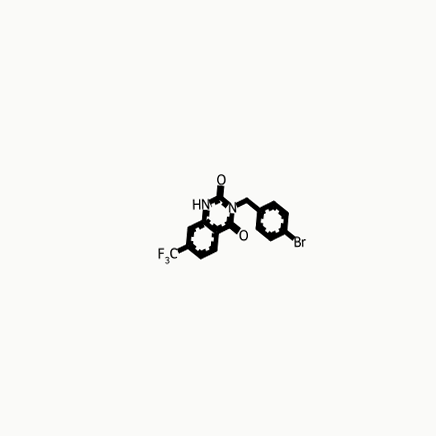 O=c1[nH]c2cc(C(F)(F)F)ccc2c(=O)n1Cc1ccc(Br)cc1